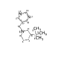 CC(C)(C)C1CCCN(Cc2cncnc2)C1